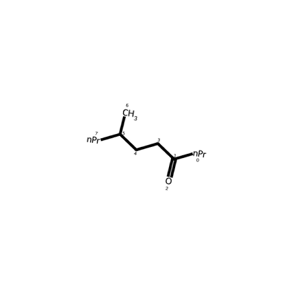 CCCC(=O)CCC(C)CCC